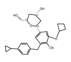 N#Cc1c(Cc2ccc(C3CC3)cc2)cc([C@H]2C[C@@H](O)C[C@@H](CO)O2)cc1OC1CCC1